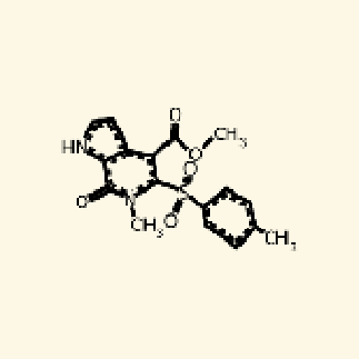 COC(=O)c1c(S(=O)(=O)c2ccc(C)cc2)n(C)c(=O)c2[nH]ccc12